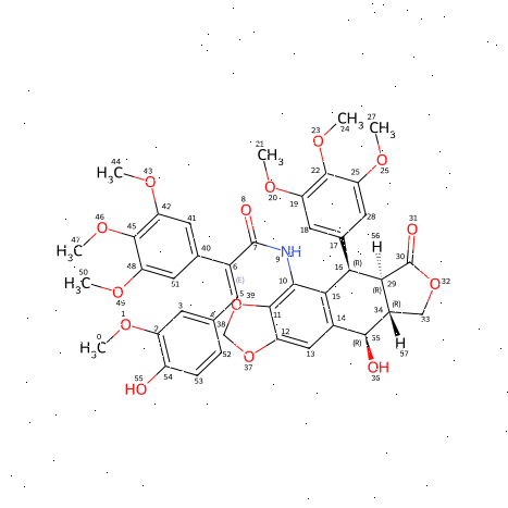 COc1cc(/C=C(/C(=O)Nc2c3c(cc4c2[C@@H](c2cc(OC)c(OC)c(OC)c2)[C@H]2C(=O)OC[C@@H]2[C@H]4O)OCO3)c2cc(OC)c(OC)c(OC)c2)ccc1O